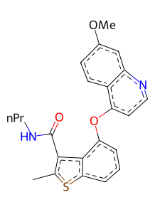 CCCNC(=O)c1c(C)sc2cccc(Oc3ccnc4cc(OC)ccc34)c12